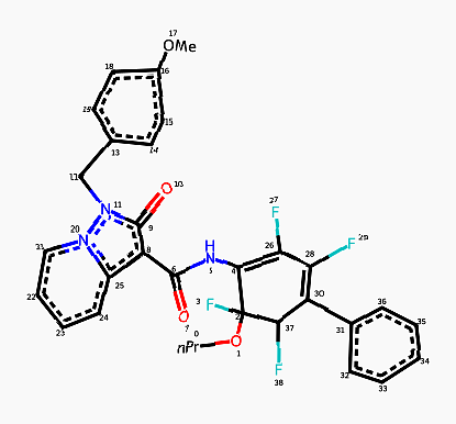 CCCOC1(F)C(NC(=O)c2c(=O)n(Cc3ccc(OC)cc3)n3ccccc23)=C(F)C(F)=C(c2ccccc2)C1F